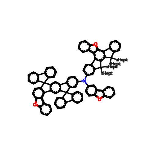 CCCCCCCC1(CCCCCCC)c2ccccc2-c2c1c1c(c3c2oc2ccccc23)-c2ccc(N(c3ccc4c(c3)C3(c5ccccc5-c5ccccc53)c3cc5c(cc3-4)C3(c4ccccc4-c4ccccc43)c3ccc4oc6ccccc6c4c3-5)c3ccc4oc5ccccc5c4c3)cc2C1(CCCCCCC)CCCCCCC